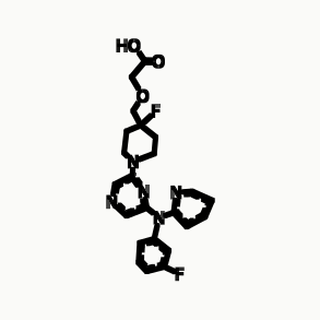 O=C(O)COCC1(F)CCN(c2cncc(N(c3cccc(F)c3)c3ccccn3)n2)CC1